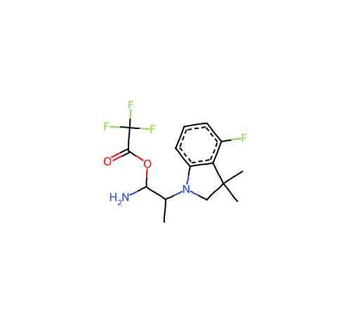 CC(C(N)OC(=O)C(F)(F)F)N1CC(C)(C)c2c(F)cccc21